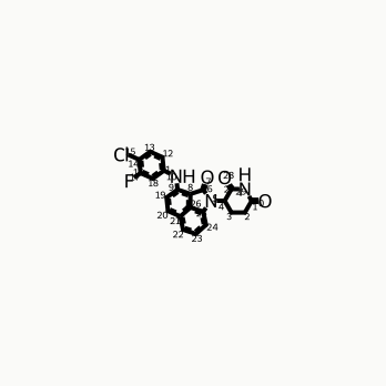 O=C1CCC(N2C(=O)c3c(Nc4ccc(Cl)c(F)c4)ccc4cccc2c34)C(=O)N1